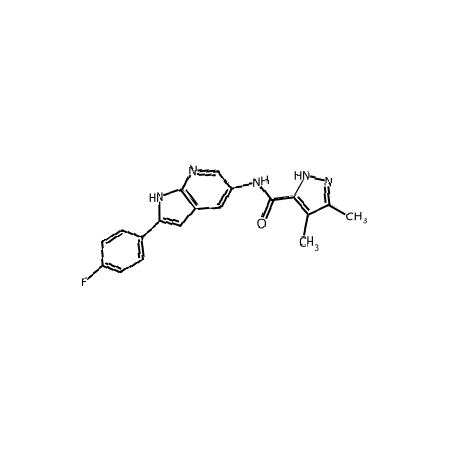 Cc1n[nH]c(C(=O)Nc2cnc3[nH]c(-c4ccc(F)cc4)cc3c2)c1C